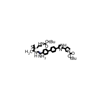 C=C(N/C=C(\N)c1ccc(-c2ccc(-c3c[nH]c(C4CCN(C(=O)OC(C)(C)C)C4)n3)cc2)cc1)[C@]1(CCCNC(=O)OC(C)(C)C)CS1